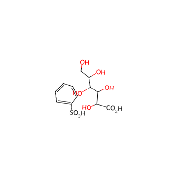 O=C(O)C(O)C(O)C(O)C(O)CO.O=S(=O)(O)c1ccccc1